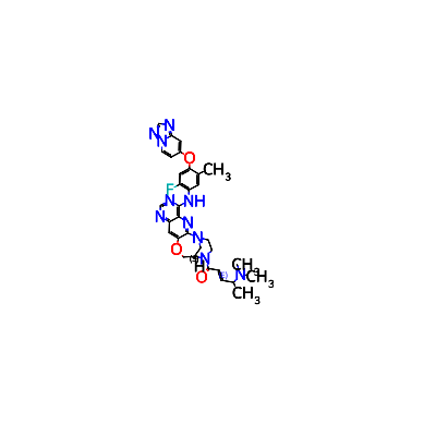 Cc1cc(Nc2ncnc3cc4c(nc23)N2CCN(C(=O)/C=C/C(C)N(C)C)[C@H](CO4)C2)c(F)cc1Oc1ccn2ncnc2c1